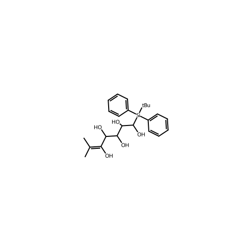 CC(C)=C(O)C(O)C(O)C(O)C(O)[Si](c1ccccc1)(c1ccccc1)C(C)(C)C